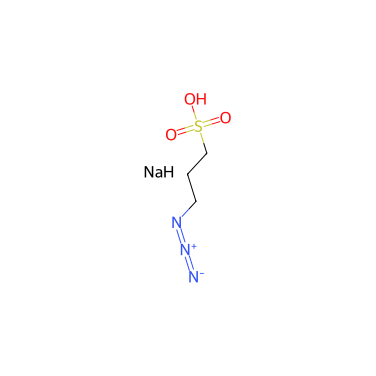 [N-]=[N+]=NCCCS(=O)(=O)O.[NaH]